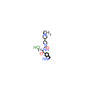 CCC(NCC(=O)N1CCC(C2CCN(C)CC2)CC1)C(=O)c1ccc2cc[nH]c2c1.Cl